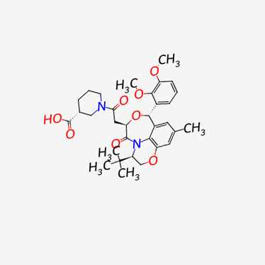 COc1cccc([C@H]2O[C@H](CC(=O)N3CCC[C@@H](C(=O)O)C3)C(=O)N3c4c(cc(C)cc42)OC[C@H]3C(C)(C)C)c1OC